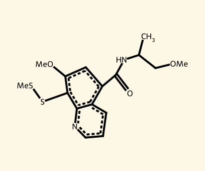 COCC(C)NC(=O)c1cc(OC)c(SSC)c2ncccc12